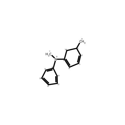 CC1C=CC=C(N(C)c2ccccc2)C1